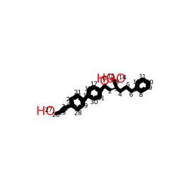 O=C(C[C@H](CCCc1ccccc1)C(=O)O)c1ccc(-c2ccc(C#CCO)cc2)cc1